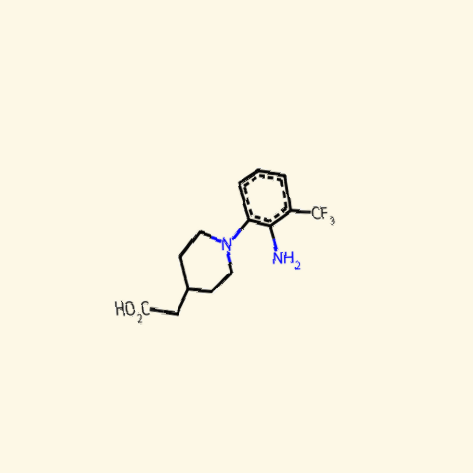 Nc1c(N2CCC(CC(=O)O)CC2)cccc1C(F)(F)F